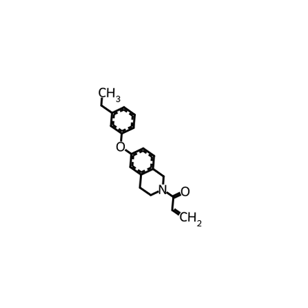 C=CC(=O)N1CCc2cc(Oc3cccc(CC)c3)ccc2C1